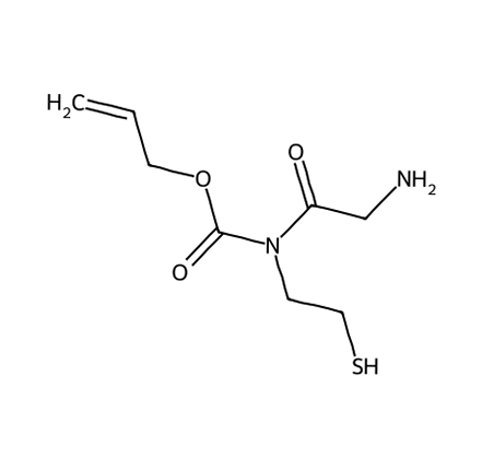 C=CCOC(=O)N(CCS)C(=O)CN